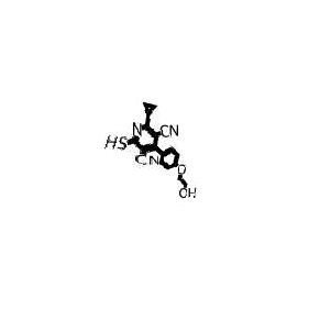 N#Cc1c(S)nc(C2CC2)c(C#N)c1-c1ccc(OCCO)cc1